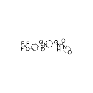 O=C(NOC1CCN(S(=O)(=O)c2ccc(OC(F)(F)F)cc2)CC1)N1CCOCC1